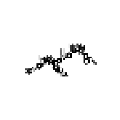 CCC(C)S(=O)(=O)c1ccc(-c2cnc(N)c(-c3cc(-c4ccc(CN[C@H]5COC(c6nc(N)c(-c7cc(-c8ccc(CN[C@H]9CCOC9)cc8)no7)nc6-c6ccc(S(=O)(=O)C(C)CC)cc6)C5)cc4)no3)n2)cc1